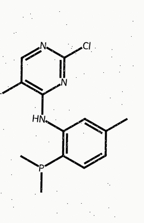 Cc1ccc(P(C)C)c(Nc2nc(Cl)ncc2Br)c1